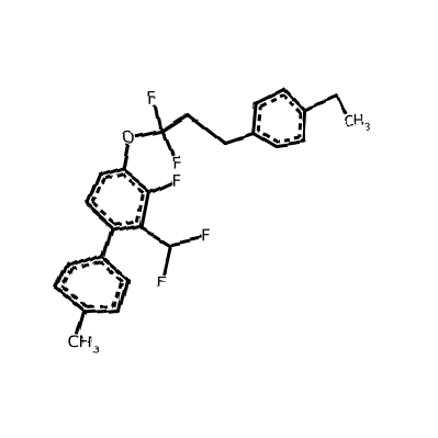 CCc1ccc(CCC(F)(F)Oc2ccc(-c3ccc(C)cc3)c(C(F)F)c2F)cc1